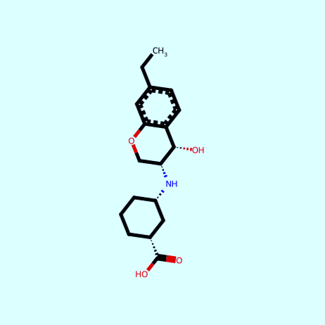 CCc1ccc2c(c1)OC[C@@H](N[C@H]1CCC[C@@H](C(=O)O)C1)[C@H]2O